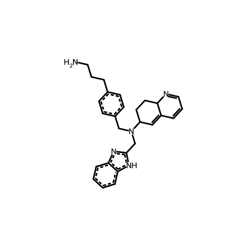 NCCCc1ccc(CN(Cc2nc3ccccc3[nH]2)C2C=C3C=CC=NC3CC2)cc1